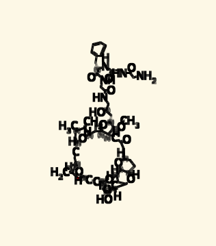 C=C1C[C@@H]2CC[C@]34C[C@@H](O)[C@H](O3)C3O[C@H]5CC[C@H](CC(=O)C[C@@H]6[C@@H](OC)[C@@H](C[C@H](O)CNC(=O)CNC(=O)[C@H](Cc7ccccc7)NC(=O)CNC(=O)CN)O[C@H]6C[C@H]6O[C@@H](CC[C@@H]1O2)C[C@@H](C)C6=C)O[C@@H]5[C@H](O4)C3C